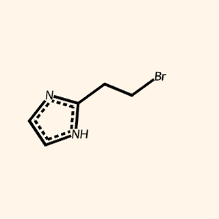 BrCCc1ncc[nH]1